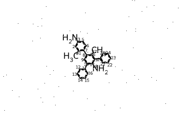 Cc1cc(N)ccc1-c1cc(-c2ccccc2)c(N)c(-c2ccccc2)c1C